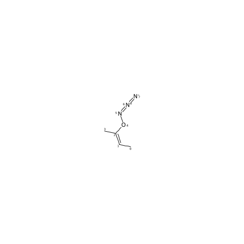 CC=C(C)ON=[N+]=[N-]